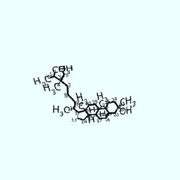 CC(C)[C@@](C)(CO)CCC[C@@H](C)[C@H]1CC[C@H]2[C@@H]3CC=C4C[C@@](C)(O)CC[C@]4(C)[C@H]3CC[C@]12C